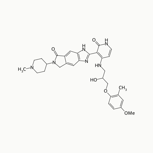 COc1ccc(OCC(O)CNc2cc[nH]c(=O)c2-c2nc3cc4c(cc3[nH]2)C(=O)N(C2CCN(C)CC2)C4)c(C)c1